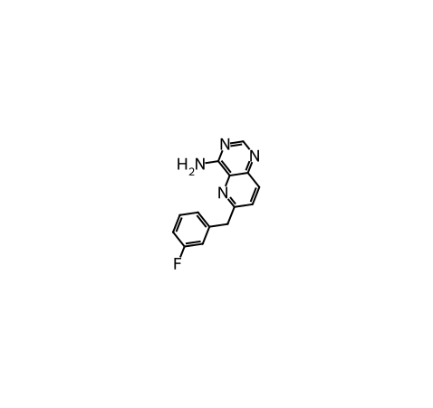 Nc1ncnc2ccc(Cc3cccc(F)c3)nc12